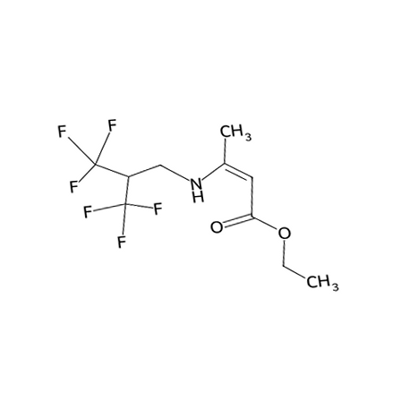 CCOC(=O)C=C(C)NCC(C(F)(F)F)C(F)(F)F